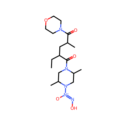 CCC(CC(C)C(=O)N1CCOCC1)C(=O)N1CC(C)N(/[N+]([O-])=N/O)CC1C